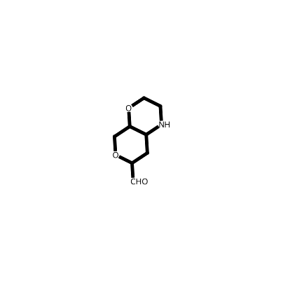 O=CC1CC2NCCOC2CO1